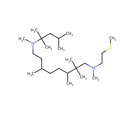 CSCCN(C)CC(C)(C)C(C)CCC(C)CCN(C)C(C)(C)CC(C)C